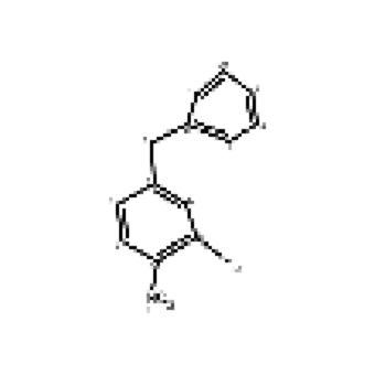 O=[N+]([O-])c1ccc(Cc2ccccc2)cc1F